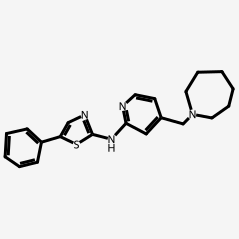 c1ccc(-c2cnc(Nc3cc(CN4CCCCCC4)ccn3)s2)cc1